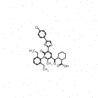 CCc1cccc(CC)c1-n1c(C)c(C(=O)N2CCCCC2C(=O)O)cc(-c2nc(-c3ccc(Cl)cc3)cs2)c1=O